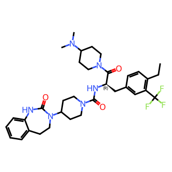 CCc1ccc(C[C@@H](NC(=O)N2CCC(N3CCc4ccccc4NC3=O)CC2)C(=O)N2CCC(N(C)C)CC2)cc1C(F)(F)F